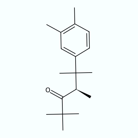 Cc1ccc(C(C)(C)[C@@H](C)C(=O)C(C)(C)C)cc1C